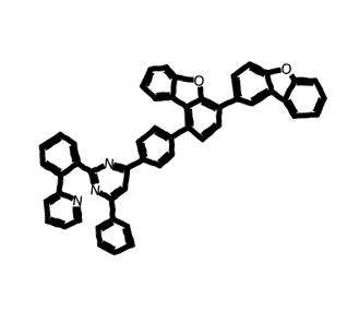 c1ccc(-c2cc(-c3ccc(-c4ccc(-c5ccc6oc7ccccc7c6c5)c5oc6ccccc6c45)cc3)nc(-c3ccccc3-c3ccccn3)n2)cc1